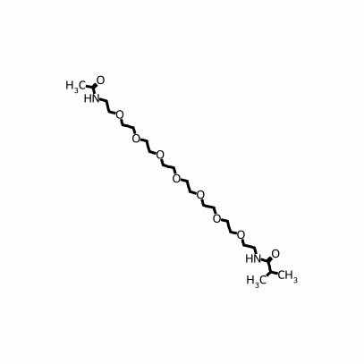 CC(=O)NCCOCCOCCOCCOCCOCCOCCOCCNC(=O)C(C)C